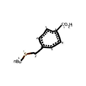 CCCCSCc1ccc(C(=O)O)cc1